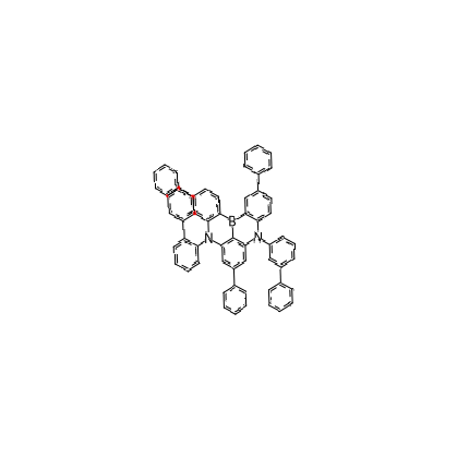 c1ccc(-c2cccc(N3c4ccc(-c5ccccc5)cc4B4c5ccc(-c6ccccc6)cc5N(c5ccccc5-c5ccccc5)c5cc(-c6ccccc6)cc3c54)c2)cc1